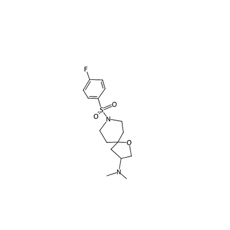 CN(C)C1COC2(CCN(S(=O)(=O)c3ccc(F)cc3)CC2)C1